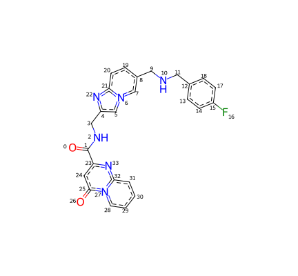 O=C(NCc1cn2cc(CNCc3ccc(F)cc3)ccc2n1)c1cc(=O)n2ccccc2n1